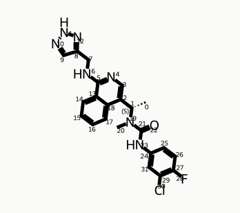 C[C@@H](c1cnc(NCc2cn[nH]n2)c2ccccc12)N(C)C(=O)Nc1ccc(F)c(Cl)c1